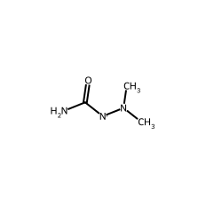 CN(C)[N]C(N)=O